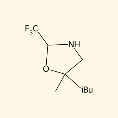 CCC(C)C1(C)CNC(C(F)(F)F)O1